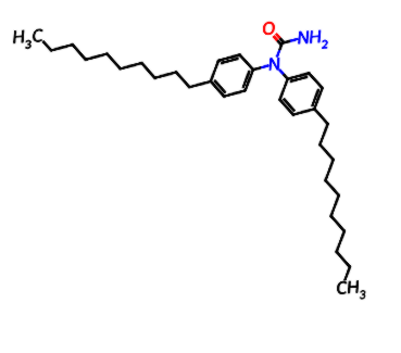 CCCCCCCCCCc1ccc(N(C(N)=O)c2ccc(CCCCCCCCCC)cc2)cc1